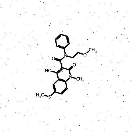 COCCN(C(=O)c1c(O)c2cc(SC)ccc2n(C)c1=O)c1ccccc1